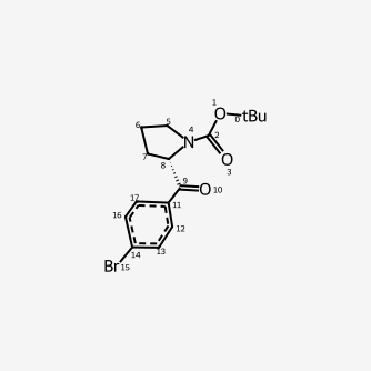 CC(C)(C)OC(=O)N1CCC[C@H]1C(=O)c1ccc(Br)cc1